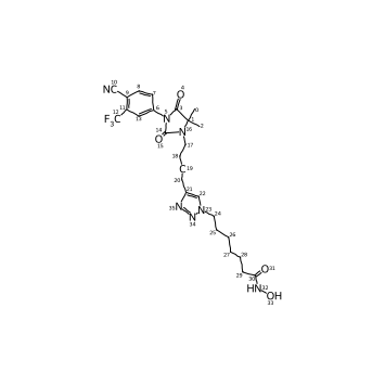 CC1(C)C(=O)N(c2ccc(C#N)c(C(F)(F)F)c2)C(=O)N1CCCCc1cn(CCCCCCC(=O)NO)nn1